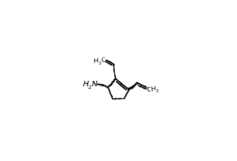 C=CC1=C(C=C)C(N)CC1